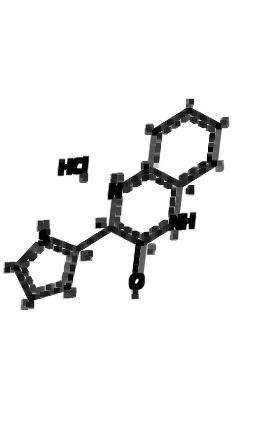 Cl.O=c1[nH]c2ccccc2nc1-c1cccs1